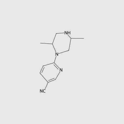 CC1CN(c2ccc(C#N)cn2)C(C)CN1